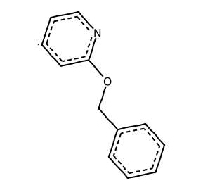 [c]1ccnc(OCc2ccccc2)c1